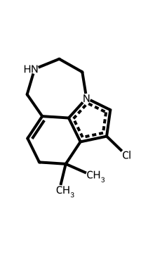 CC1(C)CC=C2CNCCn3cc(Cl)c1c32